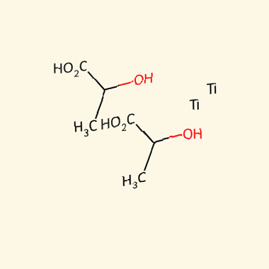 CC(O)C(=O)O.CC(O)C(=O)O.[Ti].[Ti]